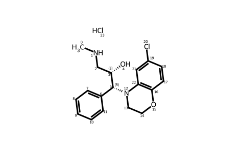 CNC[C@H](O)[C@@H](c1ccccc1)N1CCOc2ccc(Cl)cc21.Cl